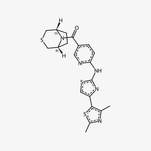 Cc1nc(C)c(-c2csc(Nc3ccc(C(=O)N4[C@@H]5CC[C@H]4CSC5)cn3)n2)s1